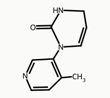 Cc1ccncc1N1C=CCNC1=O